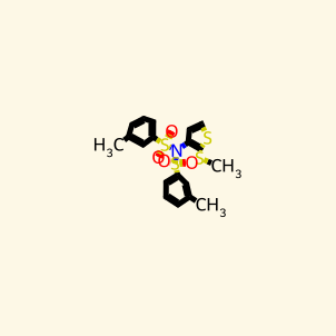 CSc1sccc1N(S(=O)(=O)c1cccc(C)c1)S(=O)(=O)c1cccc(C)c1